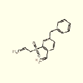 C=CCS(=O)(=O)c1cc(Cc2ccccc2)ccc1C=C